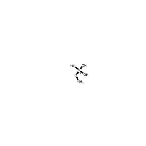 NO[PH](O)(O)O